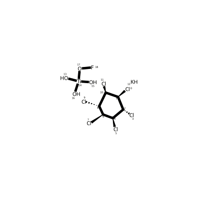 Cl[C@H]1[C@H](Cl)[C@@H](Cl)[C@@H](Cl)[C@H](Cl)[C@H]1Cl.[KH].[OH][Ti]([OH])([OH])[O]F